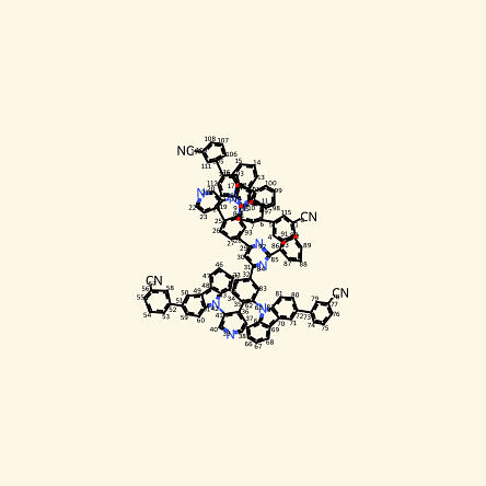 N#Cc1cccc(-c2ccc3c(c2)c2ccccc2n3-c2cnccc2-c2ccc(-c3cc(-c4ccc(-c5ccncc5-n5c6ccccc6c6cc(-c7cccc(C#N)c7)ccc65)c(-n5c6ccccc6c6cc(-c7cccc(C#N)c7)ccc65)c4)nc(-c4ccccc4)n3)cc2-n2c3ccccc3c3cc(-c4cccc(C#N)c4)ccc32)c1